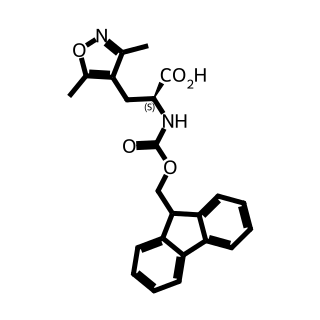 Cc1noc(C)c1C[C@H](NC(=O)OCC1c2ccccc2-c2ccccc21)C(=O)O